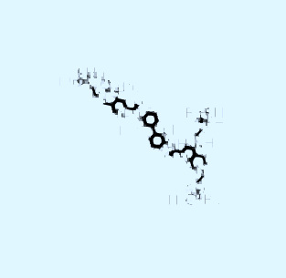 Cc1c(NC(=O)c2ccc(CN(CCO[Si](C)(C)C(C)(C)C)C(=O)OC(C)(C)C)cn2)cccc1-c1cccc(NC(=O)c2cc(NCCO[Si](C)(C)C(C)(C)C)c3c(n2)CN(CCO[Si](C)(C)C(C)(C)C)CC3)c1Cl